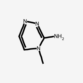 CN1C=C=NN=C1N